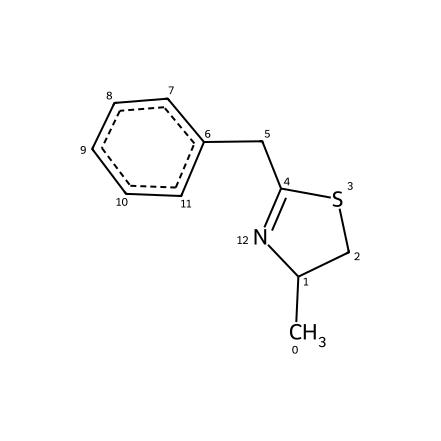 CC1CSC(Cc2ccccc2)=N1